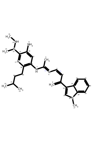 C=C(/C=C\N=C(/C)Nc1cc(N)c(N(C)NC)nc1CCC(C)C)c1cn(C)c2ccccc12